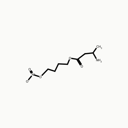 CC(N)CC(=O)OCCCCO[N+](=O)[O-]